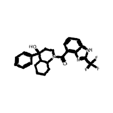 O=C(c1cccc2[nH]c(C(F)(F)F)nc12)N1CCC(O)(c2ccccc2)C2CCCCC21